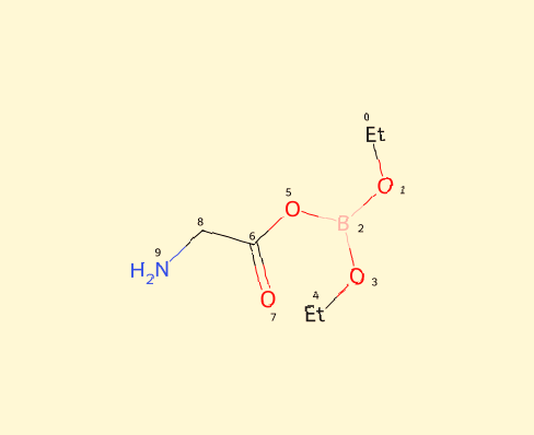 CCOB(OCC)OC(=O)CN